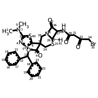 CN(C)c1nnc(C2(C(=O)OC(c3ccccc3)c3ccccc3)CS[C@@H]3C(NC(=O)CC(=O)CBr)C(=O)N3C2)s1